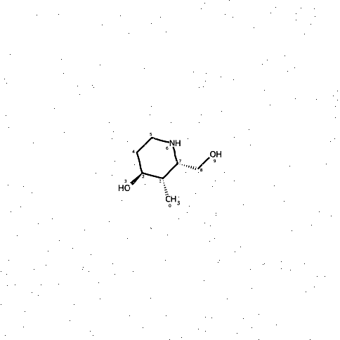 C[C@@H]1[C@@H](O)CCN[C@@H]1CO